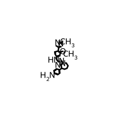 COc1cc(Nc2nc3n(n2)CCCCC3c2ccc(N)cc2)ccc1-c1cnn(C)c1